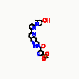 CC1CC(O)CCN1c1cccc(-c2ccc3cnc(CNC(=O)c4cncc(S(C)(=O)=O)c4)cc3n2)n1